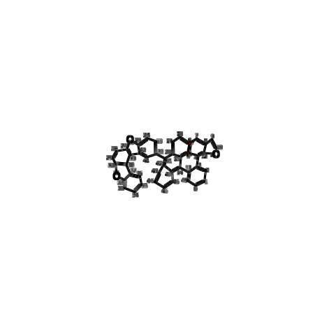 c1ccc(-c2cccc3ccoc23)c(-c2c3ccccc3c(-c3ccc4oc5ccc6oc7ccccc7c6c5c4c3)c3ccccc23)c1